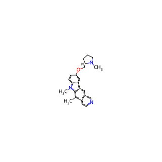 Cc1c2ccncc2cc2c3cc(OC[C@H]4CCCN4C)ccc3n(C)c12